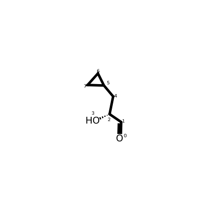 O=C[C@H](O)CC1CC1